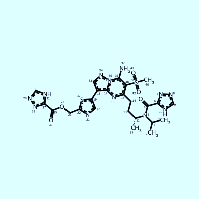 CC(C)N(C(=O)c1nnc[nH]1)[C@H](C)CCc1nc2c(-c3cnc(COC(=O)c4nnc[nH]4)s3)cnn2c(N)c1S(C)(=O)=O